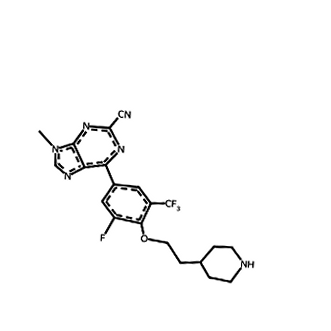 Cn1cnc2c(-c3cc(F)c(OCCC4CCNCC4)c(C(F)(F)F)c3)nc(C#N)nc21